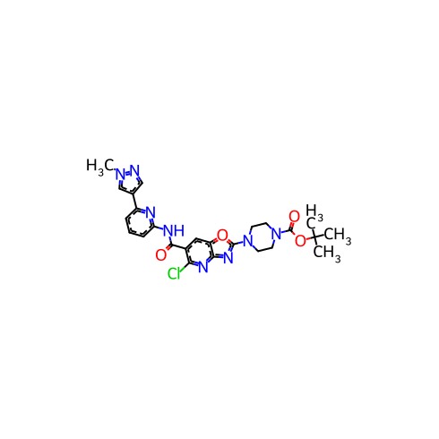 Cn1cc(-c2cccc(NC(=O)c3cc4oc(N5CCN(C(=O)OC(C)(C)C)CC5)nc4nc3Cl)n2)cn1